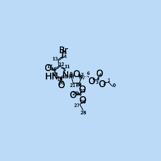 CCOC(=O)OC[C@H]1O[C@@H](n2cc(C=CBr)c(=O)[nH]c2=O)C[C@@H]1OC(=O)OCC